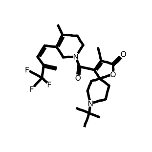 C=C(/C=C\C1=C(C)CCN(C(=O)C2=C(C)C(=O)OC23CCN(C(C)(C)C)CC3)C1)C(F)(F)F